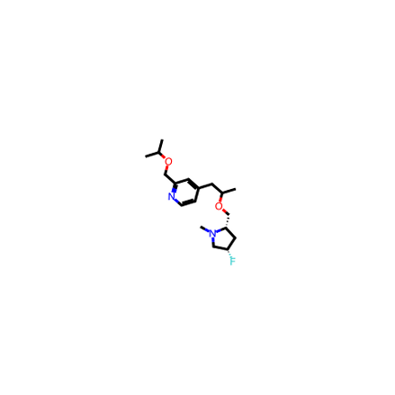 CC(C)OCc1cc(CC(C)OC[C@@H]2C[C@H](F)CN2C)ccn1